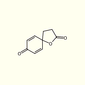 O=C1C=CC2(C=C1)CCC(=O)O2